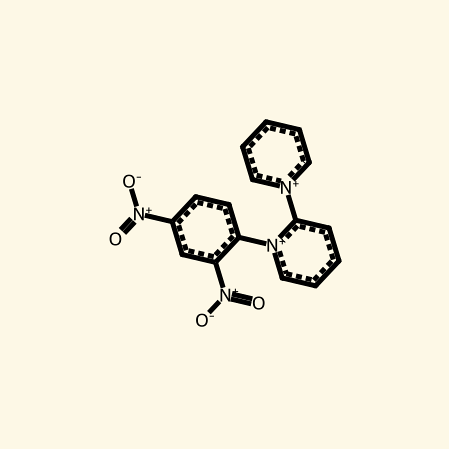 O=[N+]([O-])c1ccc(-[n+]2ccccc2-[n+]2ccccc2)c([N+](=O)[O-])c1